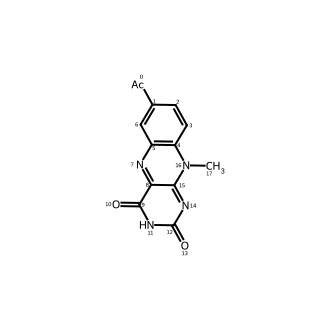 CC(=O)c1ccc2c(c1)nc1c(=O)[nH]c(=O)nc-1n2C